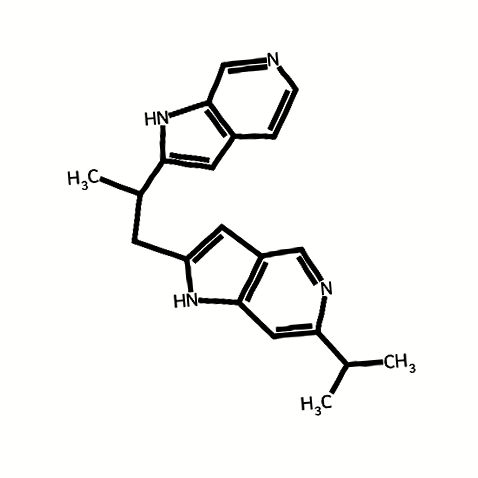 CC(C)c1cc2[nH]c(CC(C)c3cc4ccncc4[nH]3)cc2cn1